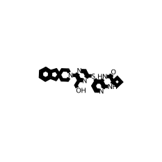 O=C1Nc2c(Sc3cnc(N4CCC5(CC4)Cc4ccccc4C5)c(CO)n3)ccnc2NC12CCC2